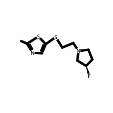 Cc1ncc(SCCN2CC[C@@H](F)C2)s1